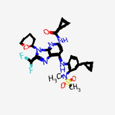 CN(c1cc(C2CC2)ccc1Nc1cc(NC(=O)C2CC2)nc2c1nc(C(F)F)n2C1CCCCO1)S(C)(=O)=O